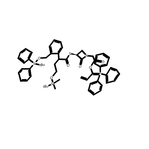 C=CC(OC(=O)CN1C[C@H](SC(=O)C(CCO[Si](C)(C)C(C)(C)C)c2ccccc2CO[Si](c2ccccc2)(c2ccccc2)C(C)(C)C)C1=O)=P(c1ccccc1)(c1ccccc1)c1ccccc1